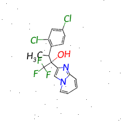 CC(c1ccc(Cl)cc1Cl)C(O)(c1cn2ccccc2n1)C(F)(F)F